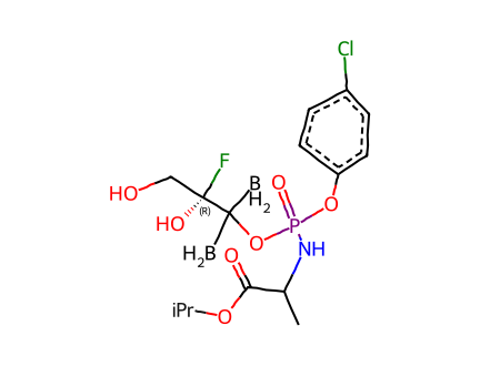 BC(B)(OP(=O)(NC(C)C(=O)OC(C)C)Oc1ccc(Cl)cc1)[C@](O)(F)CO